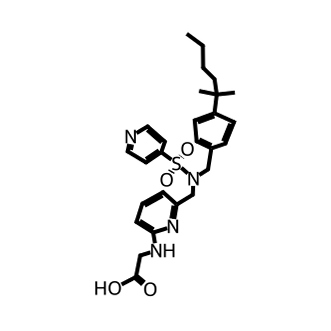 CCCCC(C)(C)c1ccc(CN(Cc2cccc(NCC(=O)O)n2)S(=O)(=O)c2ccncc2)cc1